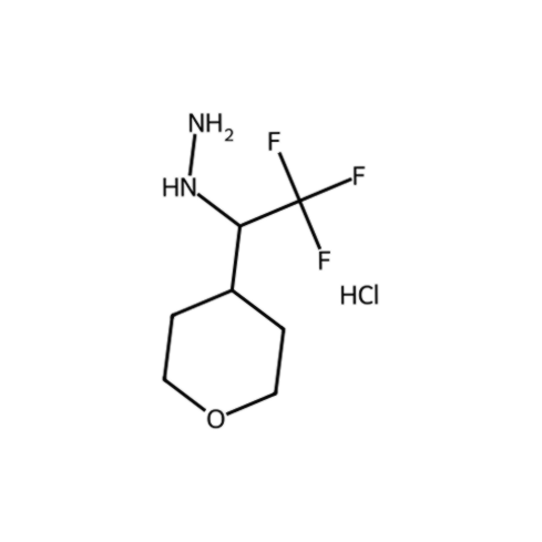 Cl.NNC(C1CCOCC1)C(F)(F)F